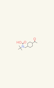 CC(=O)C1CCC(CN(C(=O)O)C(C)(C)C)CC1